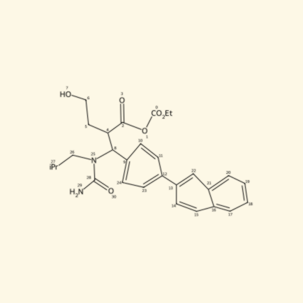 CCOC(=O)OC(=O)C(CCO)C(c1ccc(-c2ccc3ccccc3c2)cc1)N(CC(C)C)C(N)=O